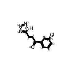 O=C(CCc1nnn[nH]1)c1cccc(Cl)c1